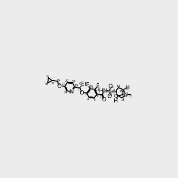 CC[C@@H](Oc1ccc(C(=O)NS(=O)(=O)N2C[C@H]3C[C@@H]2CN3C)c(F)c1F)c1ccc(OCC2CC2)cn1